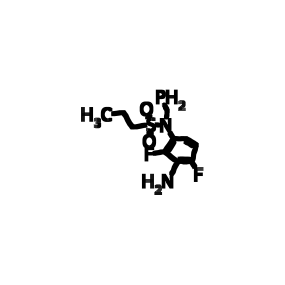 CCCS(=O)(=O)N(CP)c1ccc(F)c(N)c1F